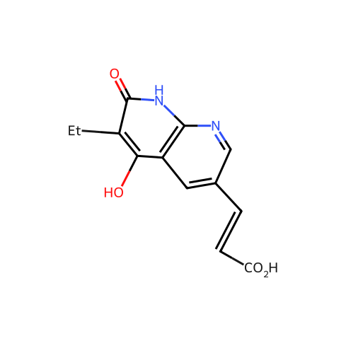 CCc1c(O)c2cc(C=CC(=O)O)cnc2[nH]c1=O